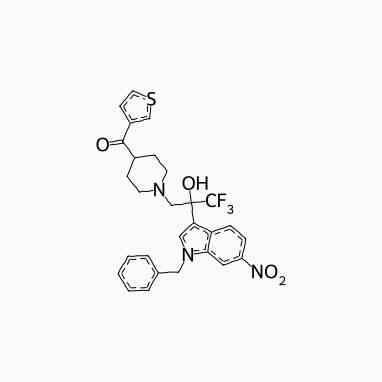 O=C(c1ccsc1)C1CCN(CC(O)(c2cn(Cc3ccccc3)c3cc([N+](=O)[O-])ccc23)C(F)(F)F)CC1